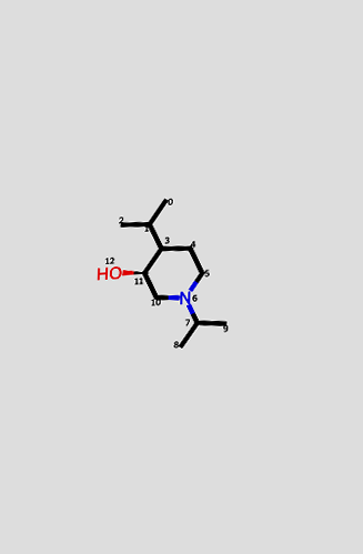 CC(C)C1CCN(C(C)C)C[C@H]1O